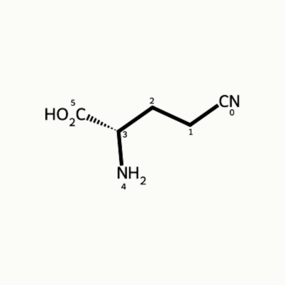 N#CCC[C@H](N)C(=O)O